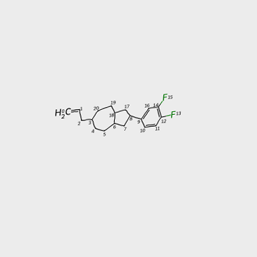 C=CCC1CCC2CC(c3ccc(F)c(F)c3)CC2CC1